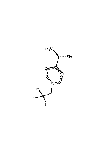 CC(C)c1ccc(CC(F)(F)F)cn1